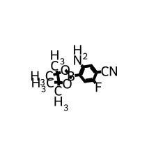 CC1(C)OB(c2cc(F)c(C#N)cc2N)OC1(C)C